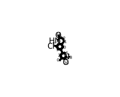 Cc1cc(-c2cc(Cl)c3c(c2)CCC(=O)N3)cn(C)c1=O